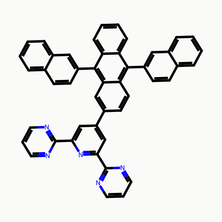 c1cnc(-c2cc(-c3ccc4c(-c5ccc6ccccc6c5)c5ccccc5c(-c5ccc6ccccc6c5)c4c3)cc(-c3ncccn3)n2)nc1